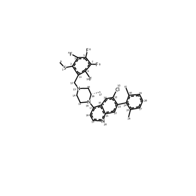 CSc1c(F)c(F)c(F)c(F)c1CN1CCN(c2ccnc3cc(-c4c(C)cccc4C)c(Cl)cc23)[C@@H](C)C1